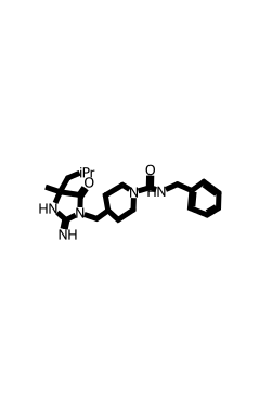 CC(C)CC1(C)NC(=N)N(CC2CCN(C(=O)NCc3ccccc3)CC2)C1=O